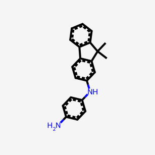 CC1(C)c2ccccc2-c2ccc(Nc3ccc(N)cc3)cc21